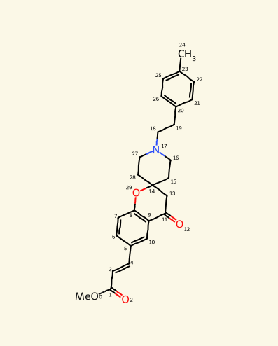 COC(=O)C=Cc1ccc2c(c1)C(=O)CC1(CCN(CCc3ccc(C)cc3)CC1)O2